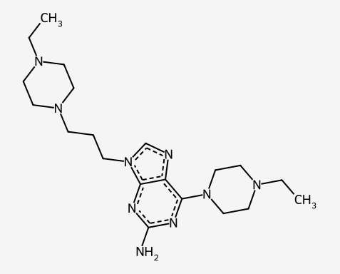 CCN1CCN(CCCn2cnc3c(N4CCN(CC)CC4)nc(N)nc32)CC1